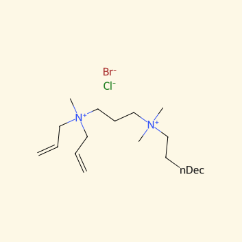 C=CC[N+](C)(CC=C)CCC[N+](C)(C)CCCCCCCCCCCC.[Br-].[Cl-]